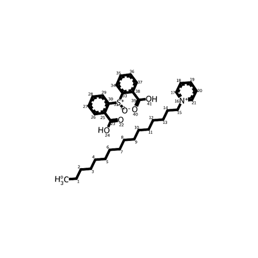 CCCCCCCCCCCCCCCC[n+]1ccccc1.O=C(O)c1ccccc1[S+]([O-])c1ccccc1C(=O)O